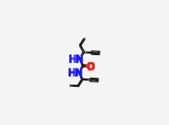 C#CC(CC)NC(=O)NC(C#C)CC